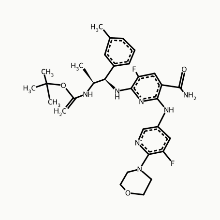 C=C(N[C@@H](C)[C@H](Nc1nc(Nc2cnc(N3CCOCC3)c(F)c2)c(C(N)=O)cc1F)c1cccc(C)c1)OC(C)(C)C